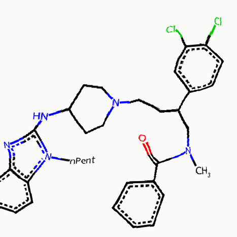 CCCCCn1c(NC2CCN(CCC(CN(C)C(=O)c3ccccc3)c3ccc(Cl)c(Cl)c3)CC2)nc2ccccc21